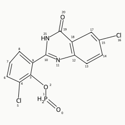 O=[PH2]Oc1c(Cl)cccc1-c1nc2ccc(Cl)cc2c(=O)[nH]1